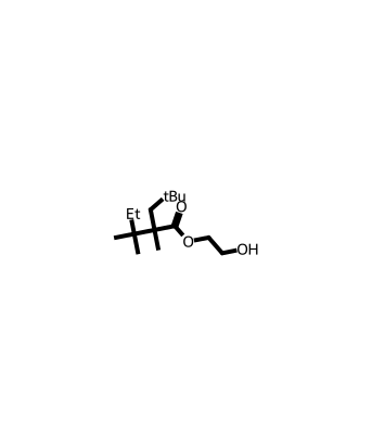 CCC(C)(C)C(C)(CC(C)(C)C)C(=O)OCCO